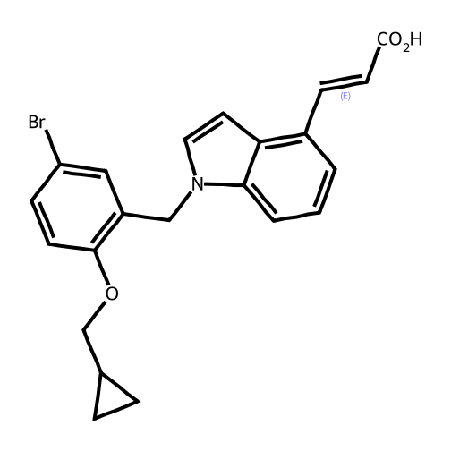 O=C(O)/C=C/c1cccc2c1ccn2Cc1cc(Br)ccc1OCC1CC1